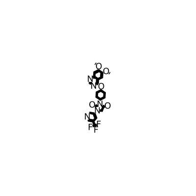 COc1cc2ncnc(O[C@H]3CC[C@H](N4C(=O)CN(c5cncc(C(F)(F)F)c5)C4=O)CC3)c2cc1OC